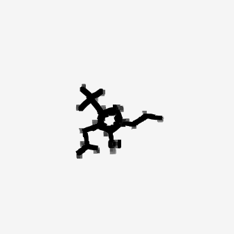 CCCn1nc(C(C)(C)C)c(CC(C)C)c1O